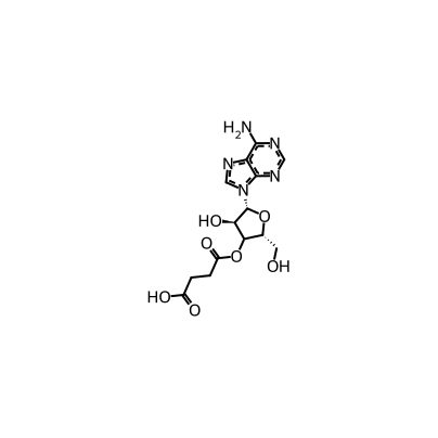 Nc1ncnc2c1ncn2[C@@H]1O[C@H](CO)C(OC(=O)CCC(=O)O)[C@H]1O